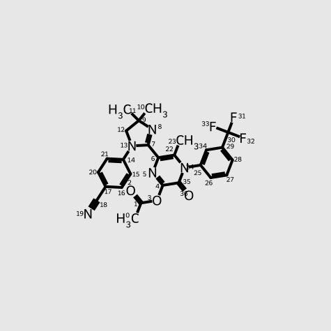 CC(=O)Oc1nc(C2=NC(C)(C)CN2c2ccc(C#N)cc2)c(C)n(-c2cccc(C(F)(F)F)c2)c1=O